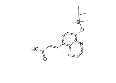 CC(C)(C)[Si](C)(C)Oc1ccc(C=CC(=O)O)c2cccnc12